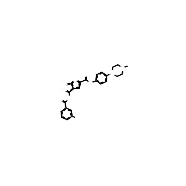 CN1CCN(c2ccc(NC(=O)c3cc4c(NC(=O)c5cccc(Cl)c5)n[nH]c4s3)cc2)CC1